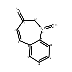 O=C1C=Cc2ccccc2[N+](=O)C1